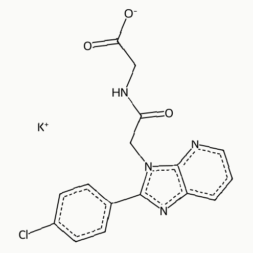 O=C([O-])CNC(=O)Cn1c(-c2ccc(Cl)cc2)nc2cccnc21.[K+]